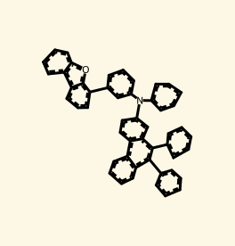 c1ccc(-c2c(-c3ccccc3)c3cc(N(c4ccccc4)c4cccc(-c5cccc6c5oc5ccccc56)c4)ccc3c3ccccc23)cc1